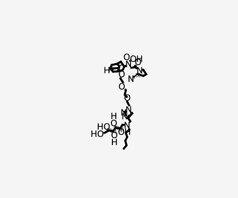 CCCCCCN(Cc1cn(CCOCCOCCOC23CC4C[C@H](C2)CC(N(CC(=O)N2CCC[C@H]2C#N)C(=O)O)(C4)C3)nn1)C[C@H](O)[C@@H](O)[C@H](O)[C@H](O)CO